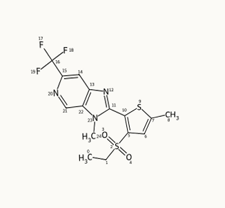 CCS(=O)(=O)c1cc(C)sc1-c1nc2cc(C(F)(F)F)ncc2n1C